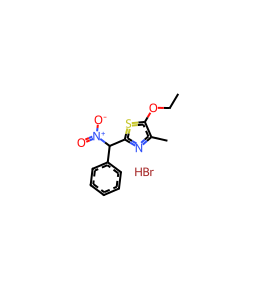 Br.CCOc1sc(C(c2ccccc2)[N+](=O)[O-])nc1C